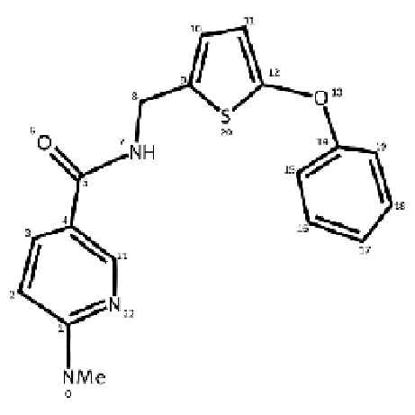 CNc1ccc(C(=O)NCc2ccc(Oc3ccccc3)s2)cn1